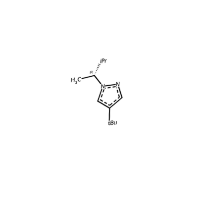 CC(C)[C@@H](C)n1cc(C(C)(C)C)cn1